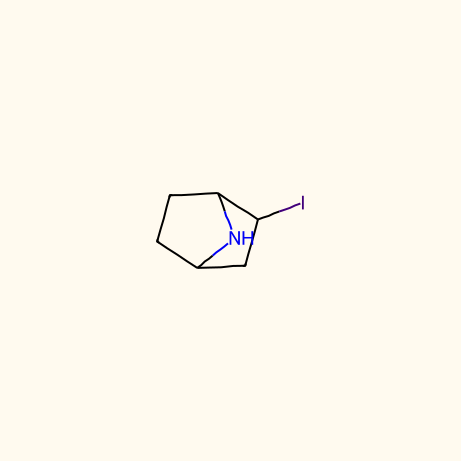 IC1CC2CCC1N2